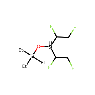 CC[Si](CC)(CC)O[SiH](C(F)CF)C(F)CF